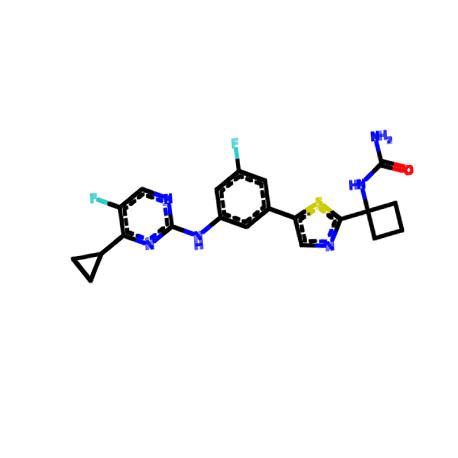 NC(=O)NC1(c2ncc(-c3cc(F)cc(Nc4ncc(F)c(C5CC5)n4)c3)s2)CCC1